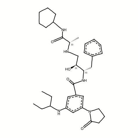 CCC(CC)Nc1cc(C(=O)N[C@@H](Cc2ccccc2)[C@@H](O)CN[C@@H](C)C(=O)NC2CCCCC2)cc(N2CCCC2=O)c1